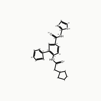 O=C(CC1CCCC1)Nc1ccc(C(=O)Nc2nccs2)cc1-c1ccccc1